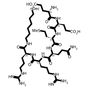 CCCCCCCCCCCCCCCCNC(=O)[C@H](CCCNC(=N)N)NC(=O)[C@H](CCCNC(=N)N)NC(=O)[C@H](CCC(N)=O)NC(=O)[C@H](CCSC)NC(=O)[C@H](CCC(=O)O)NC(=O)[C@@H](N)CCC(=O)O